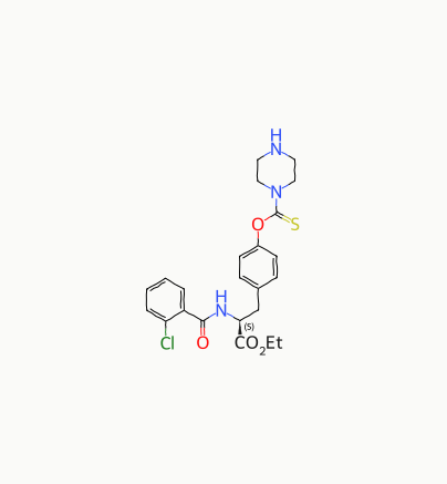 CCOC(=O)[C@H](Cc1ccc(OC(=S)N2CCNCC2)cc1)NC(=O)c1ccccc1Cl